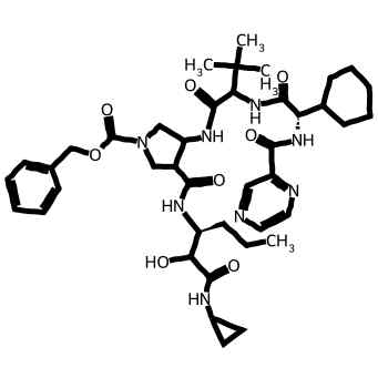 CCC[C@H](NC(=O)C1CN(C(=O)OCc2ccccc2)CC1NC(=O)C(NC(=O)[C@@H](NC(=O)c1cnccn1)C1CCCCC1)C(C)(C)C)C(O)C(=O)NC1CC1